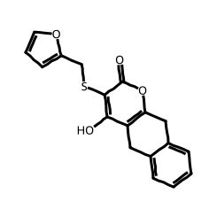 O=c1oc2c(c(O)c1SCc1ccco1)Cc1ccccc1C2